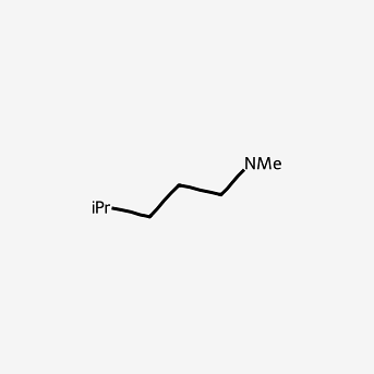 CNCCCC(C)C